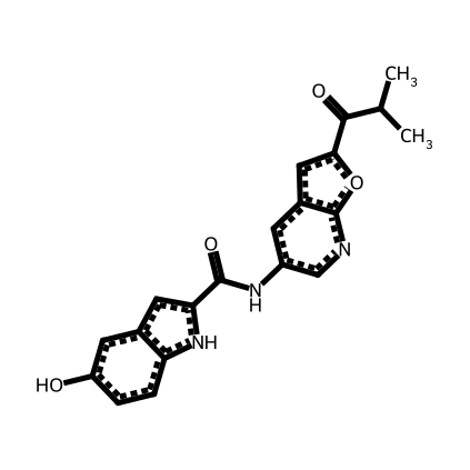 CC(C)C(=O)c1cc2cc(NC(=O)c3cc4cc(O)ccc4[nH]3)cnc2o1